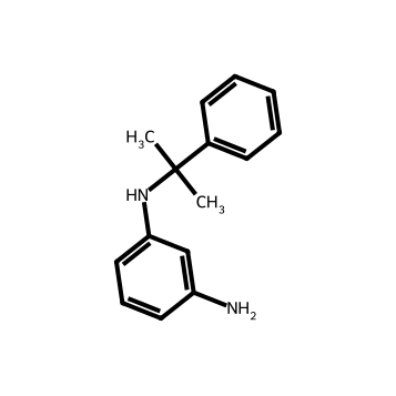 CC(C)(Nc1cccc(N)c1)c1ccccc1